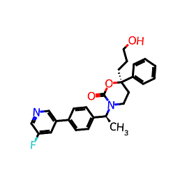 C[C@@H](c1ccc(-c2cncc(F)c2)cc1)N1CC[C@](CCCO)(c2ccccc2)OC1=O